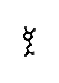 O=C(Cl)COc1ccc(Cl)c(Cl)c1